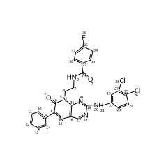 O=C(NCCn1c(=O)c(-c2cccnc2)nc2cnc(NCc3ccc(Cl)c(Cl)c3)nc21)c1ccc(F)cc1